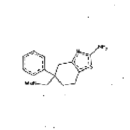 CNCC1(c2ccccc2)CCc2sc(N)nc2C1